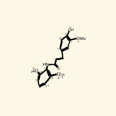 COc1cc(C=CC(=O)Nc2c(O)cccc2C(=O)O)ccc1O